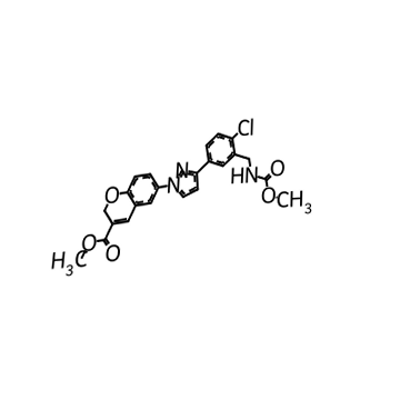 COC(=O)NCc1cc(-c2ccn(-c3ccc4c(c3)C=C(C(=O)OC)CO4)n2)ccc1Cl